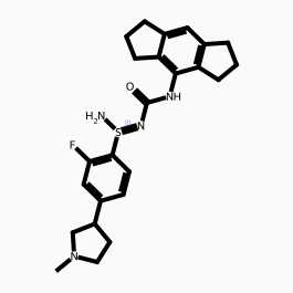 CN1CCC(c2ccc(/S(N)=N/C(=O)Nc3c4c(cc5c3CCC5)CCC4)c(F)c2)C1